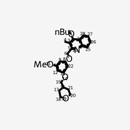 CCCCOc1c(C)c(COc2cc(OC)cc(OCC3CCOCC3)c2)nc2ccccc12